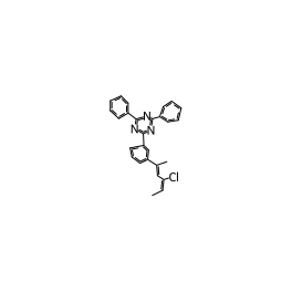 C/C=C(Cl)\C=C(/C)c1cccc(-c2nc(-c3ccccc3)nc(-c3ccccc3)n2)c1